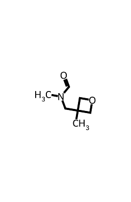 CN(C=O)CC1(C)COC1